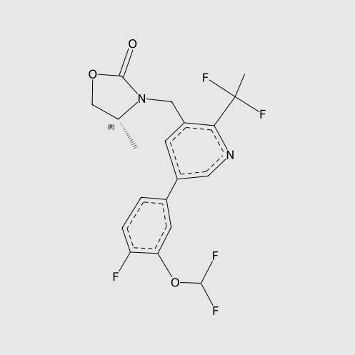 C[C@@H]1COC(=O)N1Cc1cc(-c2ccc(F)c(OC(F)F)c2)cnc1C(C)(F)F